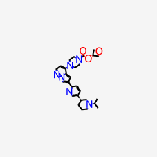 CC(C)N1CCC[C@@H](c2ccc(-c3cc4c(N5CCN(C(=O)OC6COC6)CC5)ccnn4c3)nc2)C1